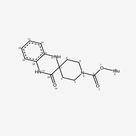 CC(C)(C)OC(=O)N1CCC2(CC1)Nc1ccccc1NC2=O